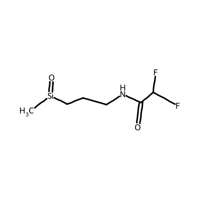 C[Si](=O)CCCNC(=O)C(F)F